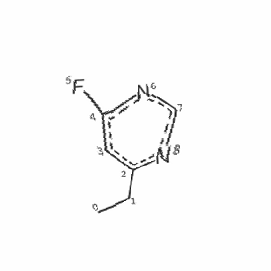 CCc1cc(F)ncn1